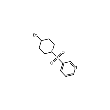 CCC1CCN(S(=O)(=O)c2cccnc2)CC1